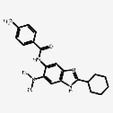 Bc1ccc(C(=O)Nc2cc3nc(C4CCCCC4)[nH]c3cc2N(CC)CC)cc1